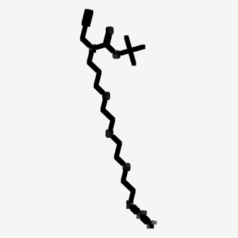 C#CCN(CCCOCCOCCOCCN=[N+]=[N-])C(=O)OC(C)(C)C